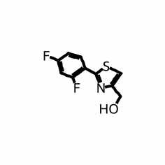 OCc1csc(-c2ccc(F)cc2F)n1